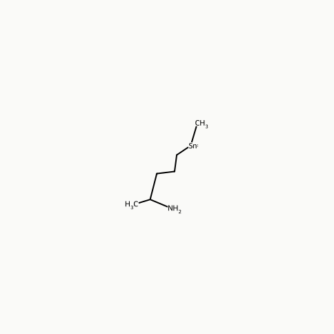 [CH3][Sn][CH2]CCC(C)N